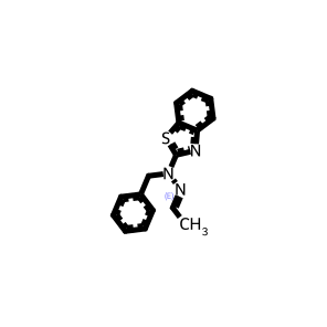 C/C=N/N(Cc1ccccc1)c1nc2ccccc2s1